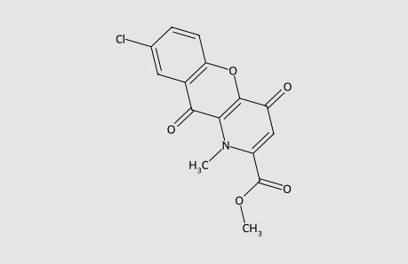 COC(=O)c1cc(=O)c2oc3ccc(Cl)cc3c(=O)c2n1C